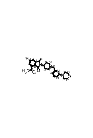 CC1c2cc(F)cc(C(N)=O)c2C(=O)N1C1CCN(Cc2cccc(N3CCOCC3)n2)CC1